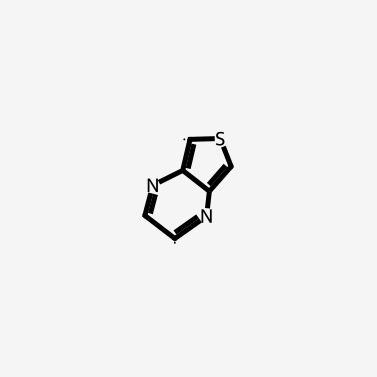 [c]1cnc2[c]scc2n1